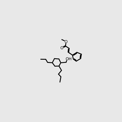 CCCCC1CC(CCC)CCC1CO.COC(=O)/C=C/c1ccccc1